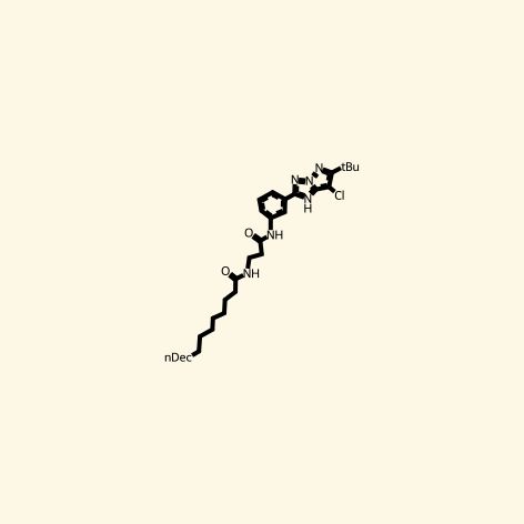 CCCCCCCCCCCCCCCCCC(=O)NCCC(=O)Nc1cccc(-c2nn3nc(C(C)(C)C)c(Cl)c3[nH]2)c1